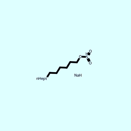 CCCCCCCCCCCCCO[SH](=O)=O.[NaH]